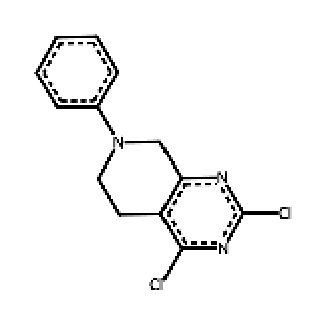 Clc1nc(Cl)c2c(n1)CN(c1ccccc1)CC2